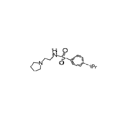 CC(C)c1ccc(S(=O)(=O)NCCN2CCCC2)cc1